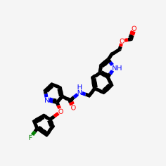 O=COCCc1cc2cc(CNC(=O)c3cccnc3Oc3ccc(F)cc3)ccc2[nH]1